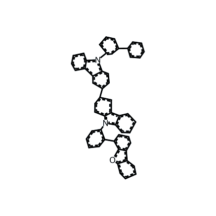 c1ccc(-c2cccc(-n3c4ccccc4c4cc(-c5ccc6c(c5)c5ccccc5n6-c5ccccc5-c5cccc6c5oc5ccccc56)ccc43)c2)cc1